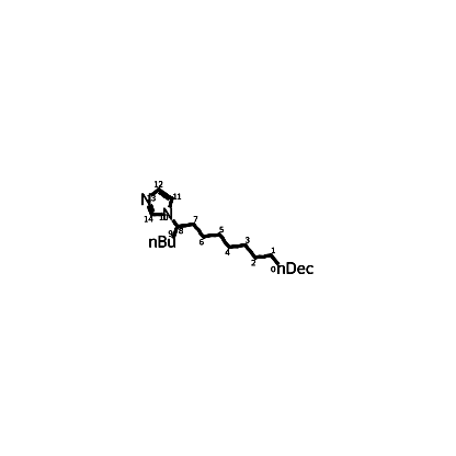 CCCCCCCCCCCCCCCCCC(CCCC)n1ccnc1